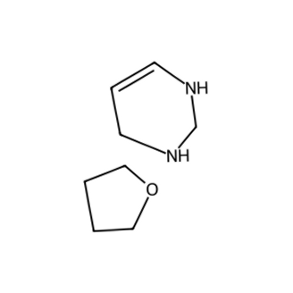 C1=CNCNC1.C1CCOC1